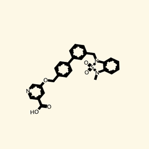 CN1c2ccccc2N(Cc2cccc(-c3ccc(COc4cncc(C(=O)O)c4)cc3)c2)S1(=O)=O